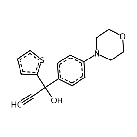 C#CC(O)(c1ccc(N2CCOCC2)cc1)c1cccs1